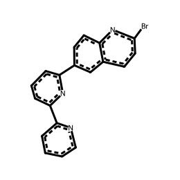 Brc1ccc2cc(-c3cccc(-c4ccccn4)n3)ccc2n1